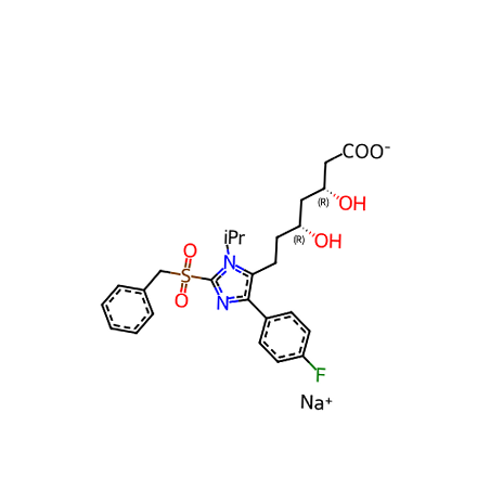 CC(C)n1c(S(=O)(=O)Cc2ccccc2)nc(-c2ccc(F)cc2)c1CC[C@@H](O)C[C@@H](O)CC(=O)[O-].[Na+]